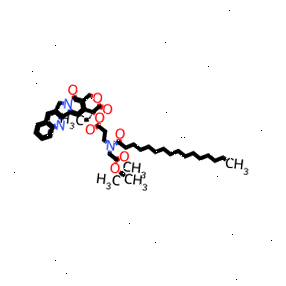 CCCCCCCCCCCCCCCC(=O)N(CCC(=O)O[C@]1(CC)C(=O)OCc2c1cc1n(c2=O)Cc2cc3ccccc3nc2-1)CC(=O)OC(C)(C)C